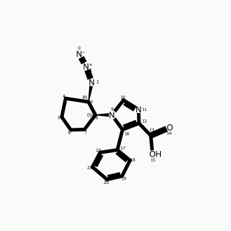 [N-]=[N+]=N[C@@H]1CCCC[C@@H]1n1cnc(C(=O)O)c1-c1ccccc1